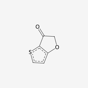 O=C1COc2ccsc21